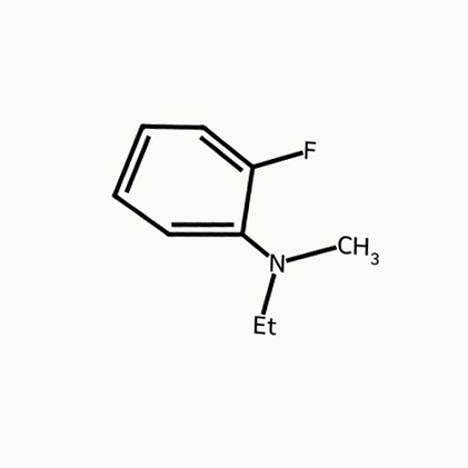 CCN(C)c1ccccc1F